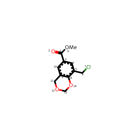 COC(=O)c1cc(CCl)c2c(c1)COCO2